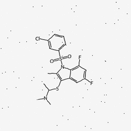 Cc1c(SC(C)N(C)C)c2cc(F)cc(F)c2n1S(=O)(=O)c1cccc(Cl)c1